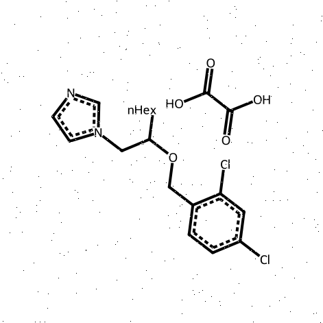 CCCCCCC(Cn1ccnc1)OCc1ccc(Cl)cc1Cl.O=C(O)C(=O)O